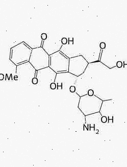 COc1cccc2c1C(=O)c1c(O)c3c(c(O)c1C2=O)C[C@@H](C(=O)CO)C[C@@H]3OC1CC(N)C(O)C(C)O1